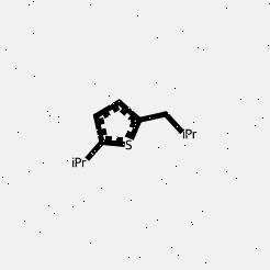 CC(C)Cc1ccc(C(C)C)s1